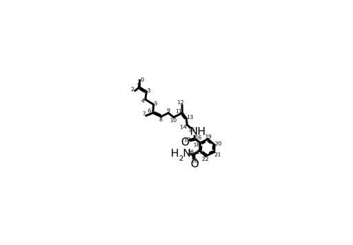 CC(C)=CCCC(C)=CCCC(C)=CCNC(=O)c1ccccc1C(N)=O